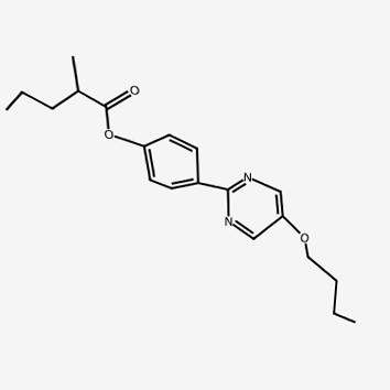 CCCCOc1cnc(-c2ccc(OC(=O)C(C)CCC)cc2)nc1